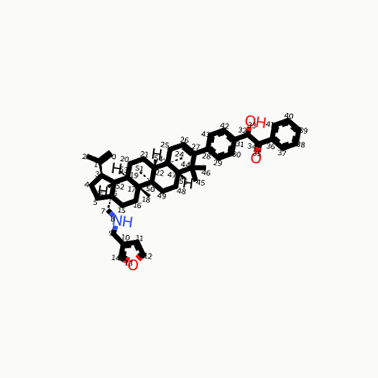 C=C(C)[C@@H]1CC[C@]2(CNCc3ccoc3)CC[C@]3(C)[C@H](CC[C@@H]4[C@@]5(C)CC=C(c6ccc(C(O)C(=O)c7ccccc7)cc6)C(C)(C)[C@@H]5CC[C@]43C)[C@@H]12